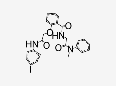 CN(C(=O)CNC(=O)c1ccccc1OCC(=O)Nc1ccc(I)cc1)c1ccccc1